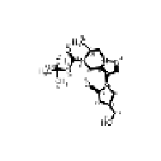 C[C@H]1Cn2ncc(N3CC(CO)CC3=O)c2CN1C(=O)OC(C)(C)C